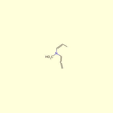 C=C=CN(/C=C\C)C(=O)O